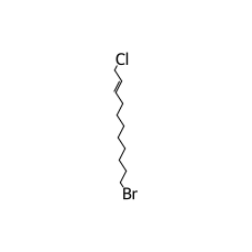 ClCC=CCCCCCCCCBr